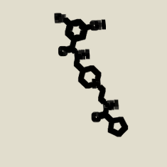 O=C(NCC1CCN(CCNC(=O)C2CCCC2)CC1)c1cc(O)cc(Br)c1